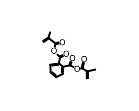 C=C(C)C(=O)OC(=O)c1ccccc1C(=O)OC(=O)C(=C)C